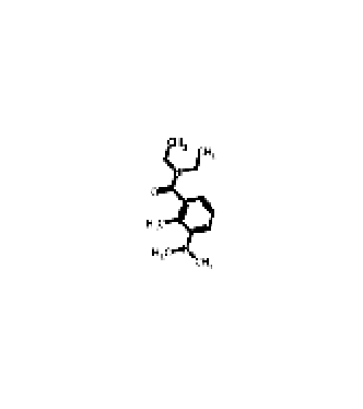 CCN(CC)C(=O)c1cccc(N(C)C)c1C